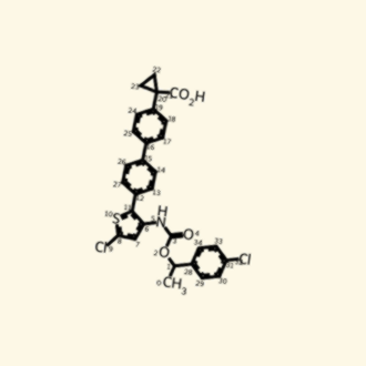 CC(OC(=O)Nc1cc(Cl)sc1-c1ccc(-c2ccc(C3(C(=O)O)CC3)cc2)cc1)c1ccc(Cl)cc1